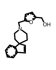 OCc1ccc(CN2CCC3(C=Cc4ccccc43)CC2)o1